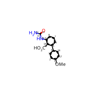 COc1ccc(-c2cccc(NC(N)=O)c2C(=O)O)cc1